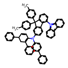 Cc1ccc(C2(c3ccc(C)cc3)c3cc(N(C4=C(c5ccccc5)CC(c5ccccc5)C=C4)c4ccc(-c5ccccc5)cc4)ccc3-c3c(-n4c5ccccc5c5ccccc54)cccc32)cc1